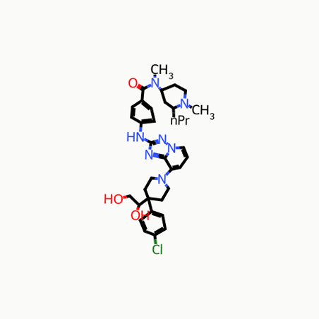 CCCC1CC(N(C)C(=O)c2ccc(Nc3nc4c(N5CCC(c6ccc(Cl)cc6)(C(O)CO)CC5)cccn4n3)cc2)CCN1C